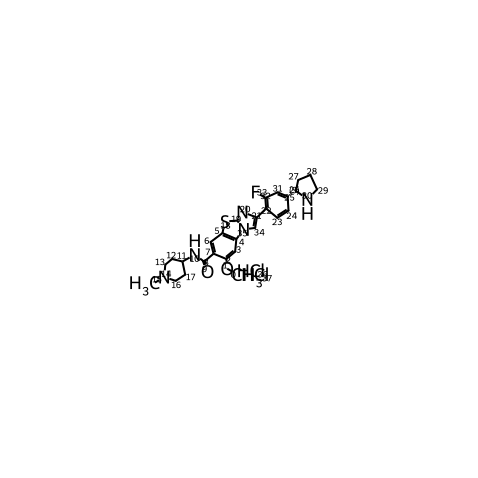 COc1cc2c(cc1C(=O)NC1CCN(C)CC1)sc1nc(-c3ccc([C@@H]4CCCN4)cc3F)cn12.Cl.Cl